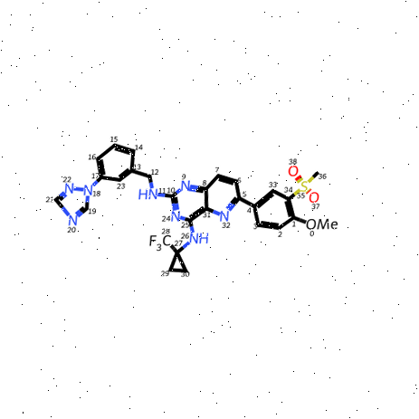 COc1ccc(-c2ccc3nc(NCc4cccc(-n5cncn5)c4)nc(NC4(C(F)(F)F)CC4)c3n2)cc1S(C)(=O)=O